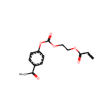 C=CC(=O)OCCOC(=O)Oc1ccc(C(=O)OC)cc1